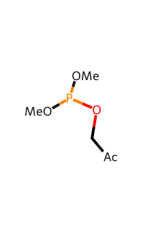 COP(OC)OCC(C)=O